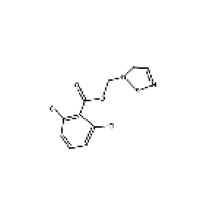 O=C(OCN1CC=NS1)c1c(Cl)cccc1Cl